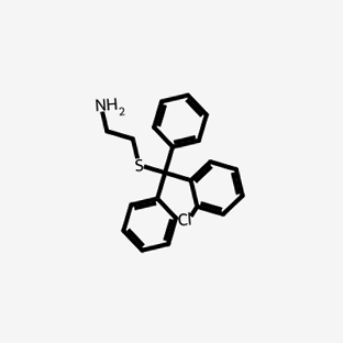 NCCSC(c1ccccc1)(c1ccccc1)c1ccccc1Cl